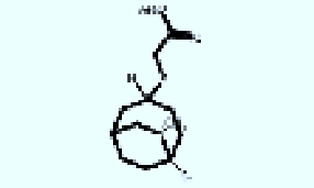 COC(=O)CS[C@@H]1CC[C@H]2CCC(C1)CN2C